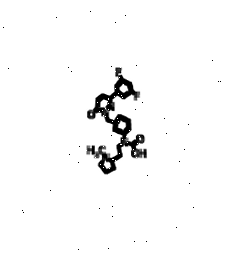 CN1CCCC1CCN(C(=O)O)c1cccc(Cn2nc(-c3cc(F)cc(F)c3)ccc2=O)c1